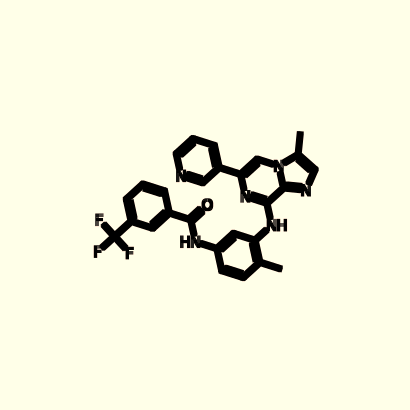 Cc1ccc(NC(=O)c2cccc(C(F)(F)F)c2)cc1Nc1nc(-c2cccnc2)cn2c(C)cnc12